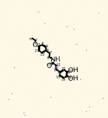 CCOc1ccc(CCNC(=O)/C=C/c2ccc(O)c(O)c2)cc1